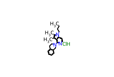 CCCCn1c(C)c(C)c2c(N3CCc4ccccc4C3)nccc21.Cl